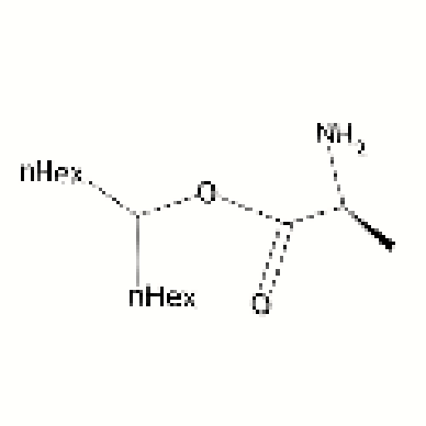 CCCCCCC(CCCCCC)OC(=O)[C@H](C)N